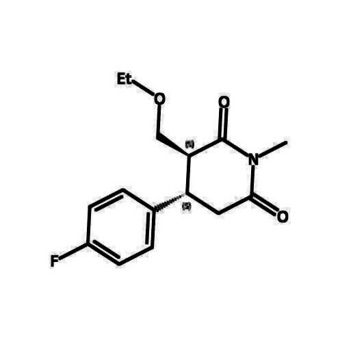 CCOC[C@H]1C(=O)N(C)C(=O)C[C@@H]1c1ccc(F)cc1